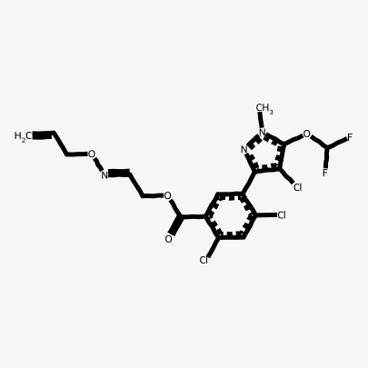 C=CCON=CCOC(=O)c1cc(-c2nn(C)c(OC(F)F)c2Cl)c(Cl)cc1Cl